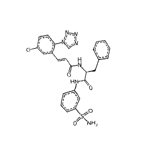 NS(=O)(=O)c1cccc(NC(=O)[C@H](Cc2ccccc2)NC(=O)C=Cc2cc(Cl)ccc2-n2cnnn2)c1